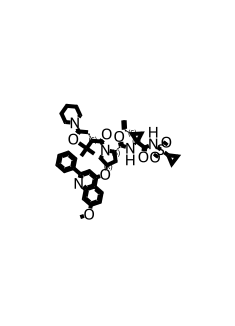 C=C[C@@H]1C[C@]1(NC(=O)[C@@H]1C[C@@H](Oc2cc(-c3ccccc3)nc3cc(OC)ccc23)CN1C(=O)[C@@H](CC(=O)N1CCCCC1)C(C)(C)C)C(=O)NS(=O)(=O)C1CC1